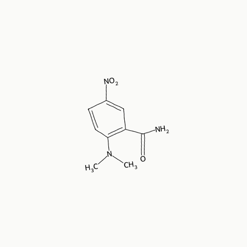 CN(C)c1ccc([N+](=O)[O-])cc1C(N)=O